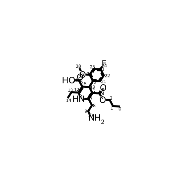 CCCOC(=O)C1=C(CCN)NC(CC)=C(C(=O)O)C1c1ccc(F)cc1OC